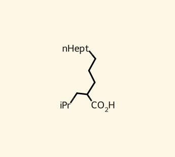 CCCCCCCCCCC(CC(C)C)C(=O)O